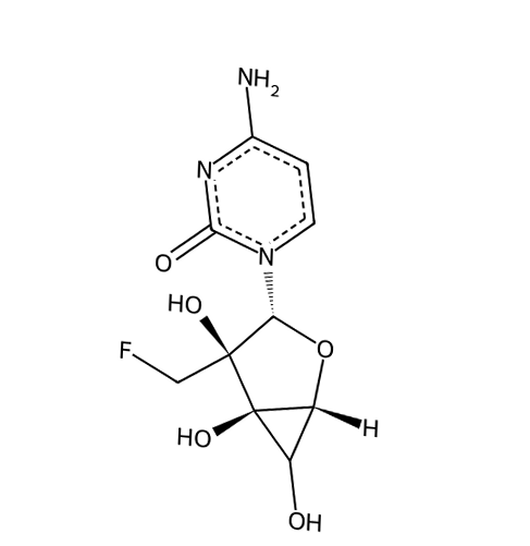 Nc1ccn([C@@H]2O[C@@H]3C(O)[C@]3(O)[C@]2(O)CF)c(=O)n1